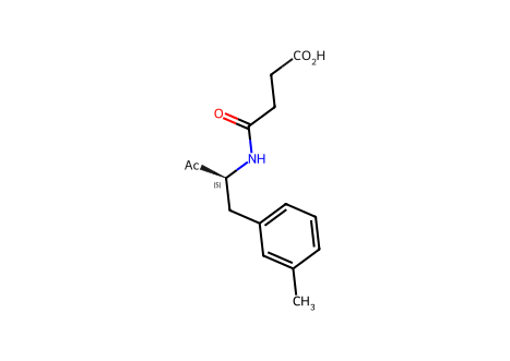 CC(=O)[C@H](Cc1cccc(C)c1)NC(=O)CCC(=O)O